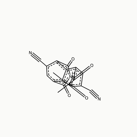 N#Cc1cc2c(=O)[nH]c(=O)c1c1c3cc(C#N)c(c(=O)[nH]c3=O)c21